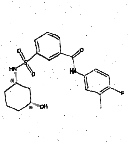 Cc1cc(NC(=O)c2cccc(S(=O)(=O)N[C@H]3CCC[C@@H](O)C3)c2)ccc1F